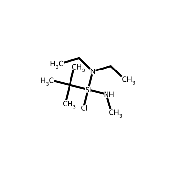 CCN(CC)[Si](Cl)(NC)C(C)(C)C